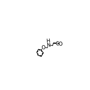 O=C=CCNCOc1ccccc1